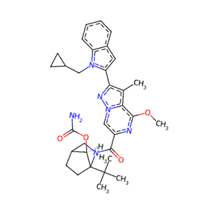 COc1nc(C(=O)N2CC3CCC2(C(C)(C)C)[C@@H]3OC(N)=O)cn2nc(-c3cc4ccccc4n3CC3CC3)c(C)c12